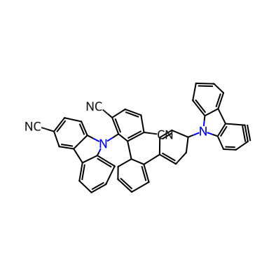 N#Cc1ccc2c(c1)c1ccccc1n2-c1c(C#N)ccc(C#N)c1C1CC=CC=C1C1=CCC(n2c3ccc#cc3c3ccccc32)C=C1